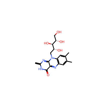 C=c1nc2c(c(=O)[nH]1)=Nc1cc(C)c(C)cc1N2C[C@@H](O)[C@@H](O)[C@@H](O)CO